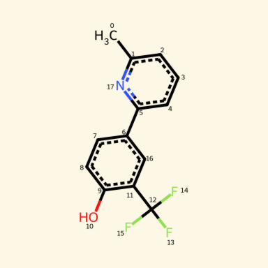 Cc1cccc(-c2ccc(O)c(C(F)(F)F)c2)n1